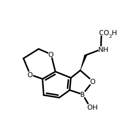 O=C(O)NC[C@H]1OB(O)c2ccc3c(c21)OCCO3